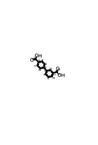 O=C(O)c1ccc(-c2cccc(C(=O)O)c2)cc1